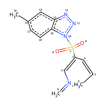 C=N/C=C(\C=C/C)S(=O)(=O)n1nnc2cc(C)ccc21